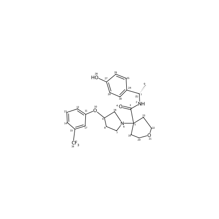 C[C@H](NC(=O)C1(N2CCC(Oc3cccc(C(F)(F)F)c3)C2)CCOCC1)c1ccc(O)cc1